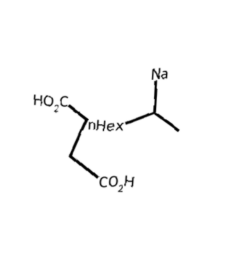 CCCCCC[CH](C)[Na].O=C(O)CCC(=O)O